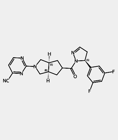 N#Cc1ccnc(N2C[C@H]3CC(C(=O)N4N=CC[C@H]4c4cc(F)cc(F)c4)C[C@H]3C2)n1